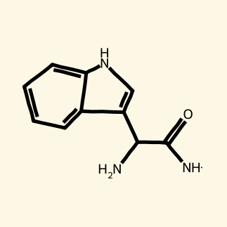 [NH]C(=O)C(N)c1c[nH]c2ccccc12